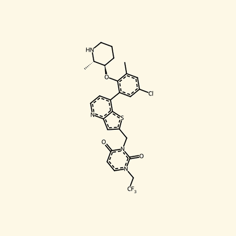 Cc1cc(Cl)cc(-c2ccnc3cc(Cn4c(=O)ccn(CC(F)(F)F)c4=O)sc23)c1O[C@@H]1CCCN[C@H]1C